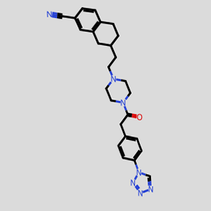 N#Cc1ccc2c(c1)CC(CCN1CCN(C(=O)Cc3ccc(-n4cnnn4)cc3)CC1)CC2